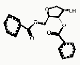 O=C(OC[C@H]1OC[C@@H](O)[C@@H]1OC(=O)c1ccccc1)c1ccccc1